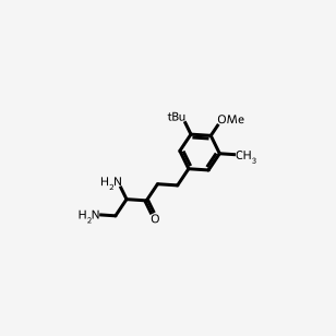 COc1c(C)cc(CCC(=O)C(N)CN)cc1C(C)(C)C